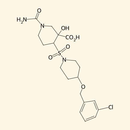 NC(=O)N1CCC(S(=O)(=O)N2CCC(OCc3cccc(Cl)c3)CC2)C(O)(C(=O)O)C1